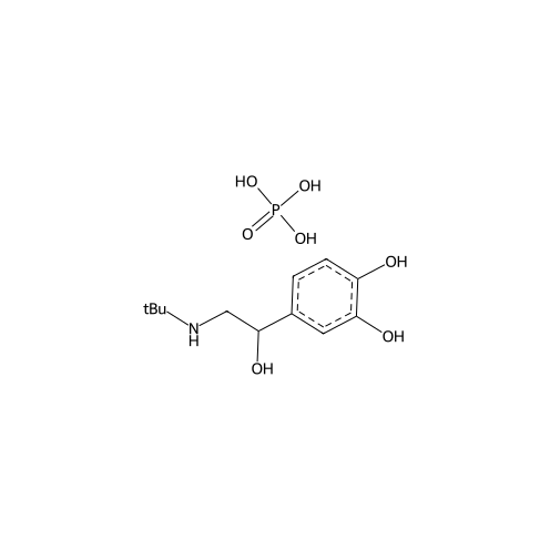 CC(C)(C)NCC(O)c1ccc(O)c(O)c1.O=P(O)(O)O